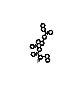 Fc1cc(-c2cccc3ccccc23)cc(N(c2ccccc2)c2ccc3c(c2)N(c2ccccc2)c2cccc4c(-c5ccc(N(c6ccccc6)c6ccc7ccccc7c6)cc5)ccc-3c24)c1